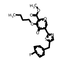 CCCCOc1c(C(=O)OC)occ(-c2ncc(Cc3ccc(F)cc3)s2)c1=O